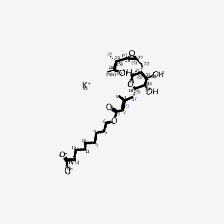 C/C(=C\C(=O)OCCCCCCCCC(=O)[O-])C[C@@H]1OC[C@H](C[C@@H]2O[C@H]2[C@@H](C)[C@H](C)O)[C@@H](O)[C@H]1O.[K+]